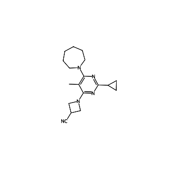 Cc1c(N2CCCCCC2)nc(C2CC2)nc1N1CC(C#N)C1